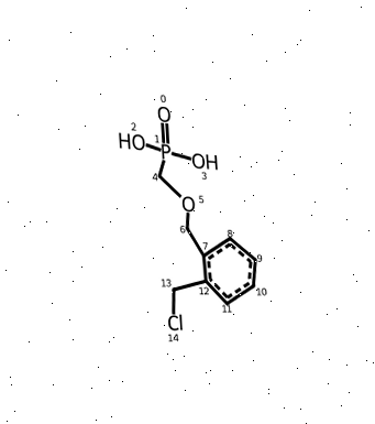 O=P(O)(O)COCc1ccccc1CCl